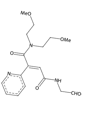 COCCN(CCOC)C(=O)C(=CC(=O)NC[C]=O)c1ccccn1